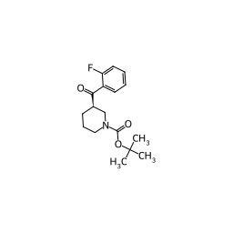 CC(C)(C)OC(=O)N1CCC[C@@H](C(=O)c2ccccc2F)C1